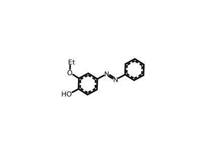 CCOc1cc(N=Nc2ccccc2)ccc1O